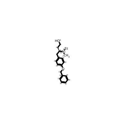 CCN(C)[C@H](CCO)Cc1ccc(OCc2ccccc2)cc1